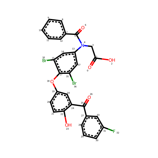 O=C(O)CN(C(=O)c1ccccc1)c1cc(Br)c(Oc2ccc(O)c(C(=O)c3cccc(F)c3)c2)c(Br)c1